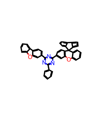 c1ccc(-c2nc(-c3ccc4c(c3)Oc3ccccc3C43c4ccccc4-c4ccccc43)nc(-c3ccc4c(c3)oc3ccccc34)n2)cc1